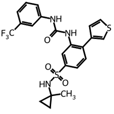 CC1(NS(=O)(=O)c2ccc(-c3ccsc3)c(NC(=O)Nc3cccc(C(F)(F)F)c3)c2)CC1